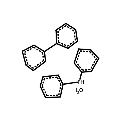 O.c1ccc(-c2ccccc2)cc1.c1ccc(Pc2ccccc2)cc1